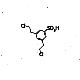 O=S(=O)(O)c1cc(CCCl)cc(CCCl)c1